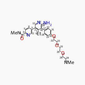 CCc1c(-c2ccc(C(=O)NC)nc2)cnc(N)c1-c1ccc(OCCOCCOCCNC)cc1